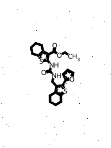 CCOC(=O)c1c(NC(=O)NCc2c(-c3ccco3)sc3c2CCCC3)sc2c1CCCC2